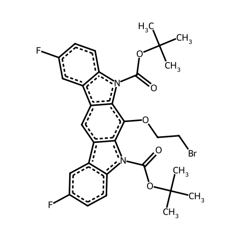 CC(C)(C)OC(=O)n1c2ccc(F)cc2c2cc3c4cc(F)ccc4n(C(=O)OC(C)(C)C)c3c(OCCBr)c21